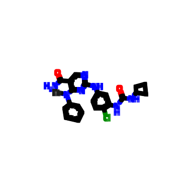 CCN(c1ccccc1)c1nc(Nc2ccc(Cl)c(NC(=O)NC3CCC3)c2)ncc1C(N)=O